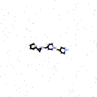 FC1(CNC2CC2c2ccccc2)CCN(SCC2CCNCC2)CC1